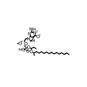 CCCCCCCCCCCCCCC(C)OC(CC)OP(=O)(O)CO[C@H](COC)Cn1cnc2c(OC)nc(N)nc21